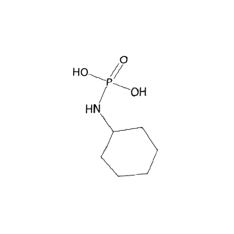 O=P(O)(O)NC1CCCCC1